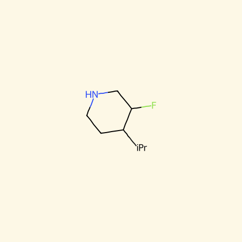 CC(C)C1CCNCC1F